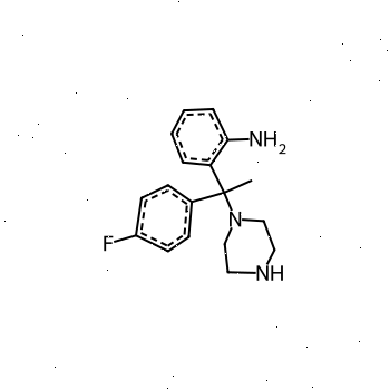 CC(c1ccc(F)cc1)(c1ccccc1N)N1CCNCC1